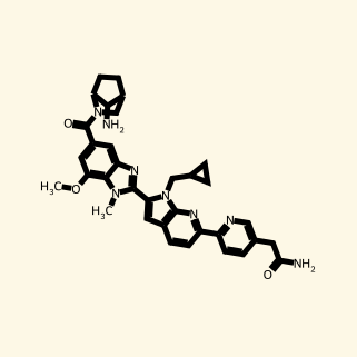 COc1cc(C(=O)N2CC3CCC2C3N)cc2nc(-c3cc4ccc(-c5ccc(CC(N)=O)cn5)nc4n3CC3CC3)n(C)c12